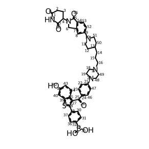 O=C1CCC(N2Cc3cc(N4CCC(CCCN5CCN(c6ccc(C(=O)c7c(-c8ccc(B(O)O)cc8)sc8cc(O)ccc78)cc6)CC5)CC4)ccc3C2=O)C(=O)N1